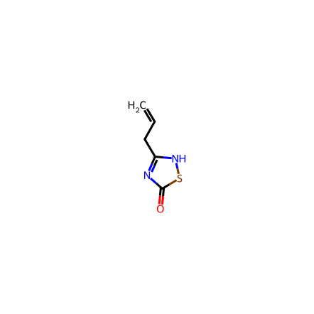 C=CCc1nc(=O)s[nH]1